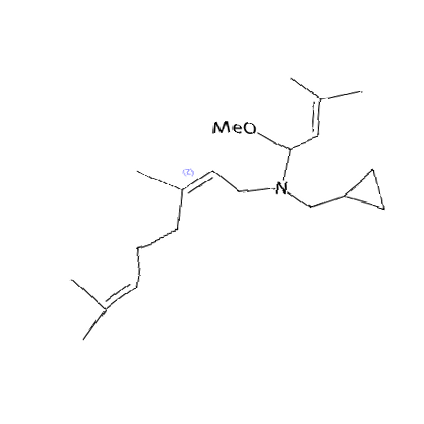 COC(C=C(C)C)N(C/C=C(/C)CCC=C(C)C)CC1CC1